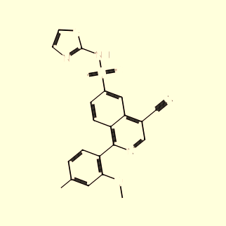 COc1cc(F)ccc1-c1ncc(C#N)c2cc(S(=O)(=O)Nc3nccs3)ccc12